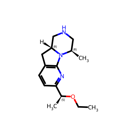 CCO[C@@H](C)c1ccc2c(n1)N1[C@@H](CNC[C@H]1C)C2